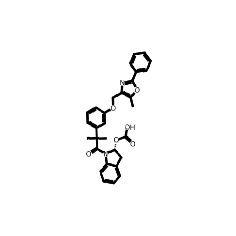 Cc1oc(-c2ccccc2)nc1COc1cccc(C(C)(C)C(=O)N2c3ccccc3C[C@H]2OC(=O)O)c1